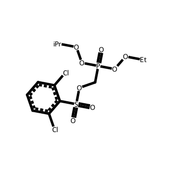 CCOOP(=O)(COS(=O)(=O)c1c(Cl)cccc1Cl)OOC(C)C